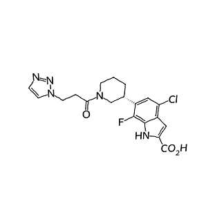 O=C(O)c1cc2c(Cl)cc([C@H]3CCCN(C(=O)CCn4ccnn4)C3)c(F)c2[nH]1